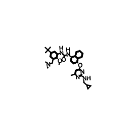 COc1c(CN(C)C)cc(C(C)(C)C)cc1NC(=O)Nc1ccc(Oc2cc(C)nc(NCC3CC3)n2)c2ccccc12